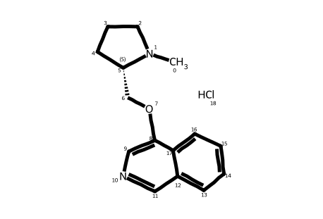 CN1CCC[C@H]1COc1cncc2ccccc12.Cl